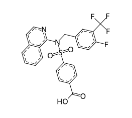 O=C(O)c1ccc(S(=O)(=O)N(Cc2ccc(F)c(C(F)(F)F)c2)c2nccc3ccccc23)cc1